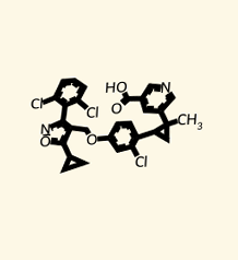 CC1(c2cncc(C(=O)O)c2)CC1c1ccc(OCc2c(-c3c(Cl)cccc3Cl)noc2C2CC2)cc1Cl